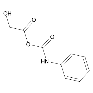 O=C(CO)OC(=O)Nc1ccccc1